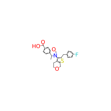 CC(c1ccc(C(=O)O)cc1)N(C=O)c1c(Cc2ccc(F)cc2)sc2c1CCOC2